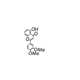 COc1ccc(-c2cc(=O)c3c(O)cccc3o2)cc1OC